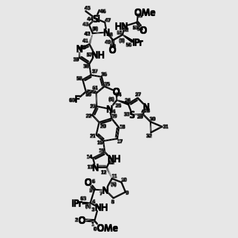 COC(=O)N[C@H](C(=O)N1CCC[C@H]1c1ncc(-c2ccc3c(c2)cc2n3[C@H](c3cnc(C4CC4)s3)Oc3cc(-c4cnc([C@@H]5C[Si](C)(C)CN5C(=O)[C@@H](NC(=O)OC)C(C)C)[nH]4)cc(F)c3-2)[nH]1)C(C)C